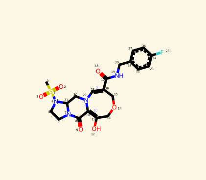 CS(=O)(=O)N1CCN2C(=O)/C3=C(\O)COC/C(C(=O)NCc4ccc(F)cc4)=C\N3CC21